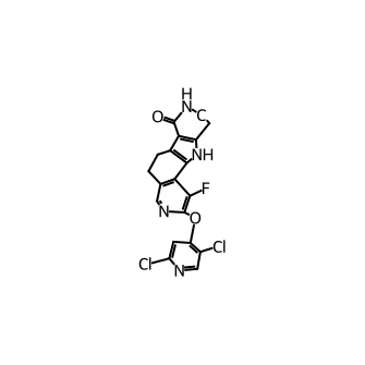 O=C1NCCc2[nH]c3c(c21)CCc1cnc(Oc2cc(Cl)ncc2Cl)c(F)c1-3